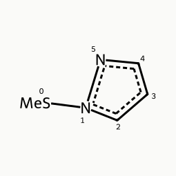 [CH2]Sn1cccn1